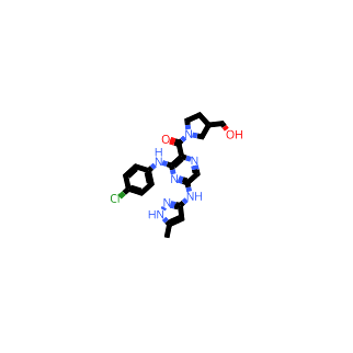 Cc1cc(Nc2cnc(C(=O)N3CCC(CO)C3)c(Nc3ccc(Cl)cc3)n2)n[nH]1